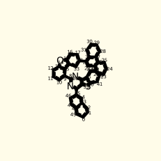 c1ccc2cc(-c3nc(-c4cccc5oc6ccc(-c7cc8ccccc8c8ccccc78)cc6c45)nc4c3sc3ccccc34)ccc2c1